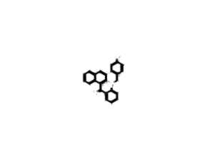 N=C(c1ccccc1NCc1ccc(C(F)(F)F)cc1)c1cccc2ccccc12